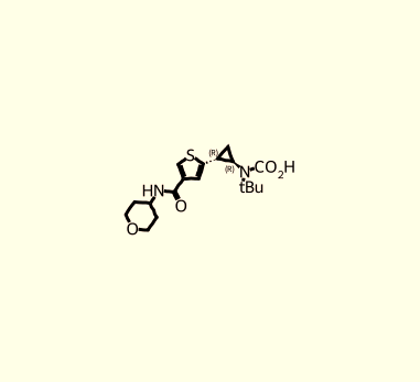 CC(C)(C)N(C(=O)O)[C@@H]1C[C@H]1c1cc(C(=O)NC2CCOCC2)cs1